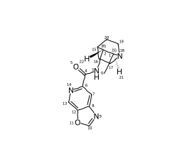 C[C@H]1[C@H](NC(=O)c2cc3ncoc3cn2)C2CCN1CC2